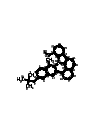 Cc1c2ccc(CC(C)(C)C)cc2cc2c3nccc4ccc5c6cccc(SI)c6n(c12)c5c43